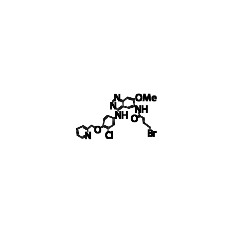 COc1cc2ncnc(Nc3ccc(OCc4ccccn4)c(Cl)c3)c2cc1NC(=O)/C=C/CBr